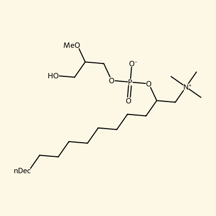 CCCCCCCCCCCCCCCCCCC(C[N+](C)(C)C)OP(=O)([O-])OCC(CO)OC